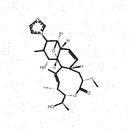 CO[C@H]1C[C@H]2C=C[C@@H]3[C@H]4[C@H](O)C(C)C(n5ccnc5)[C@@H]3O[C@]42/C(C)=C/[C@@H](C)[C@@H]([C@@H](C)O)OC1=O